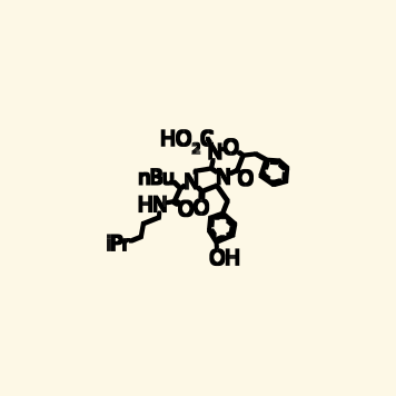 CCCCC(C(=O)NCCCC(C)C)N1CC2N(C(=O)O)OC(Cc3ccccc3)C(=O)N2C(Cc2ccc(O)cc2)C1=O